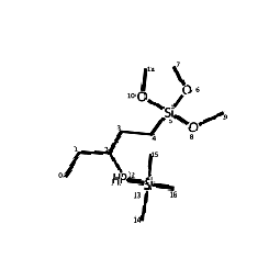 CCC(CC[Si](OC)(OC)OC)P[Si](C)(C)C